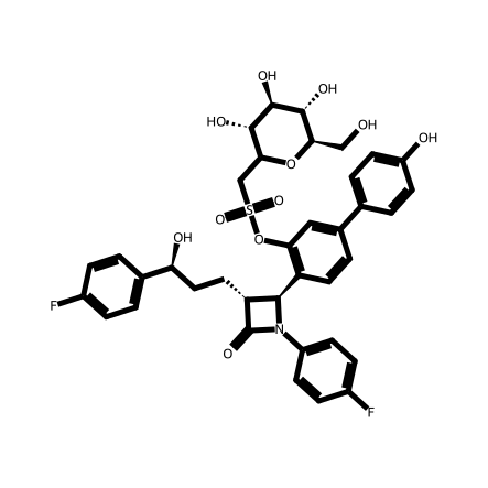 O=C1[C@H](CC[C@H](O)c2ccc(F)cc2)[C@@H](c2ccc(-c3ccc(O)cc3)cc2OS(=O)(=O)CC2O[C@H](CO)[C@@H](O)[C@H](O)[C@H]2O)N1c1ccc(F)cc1